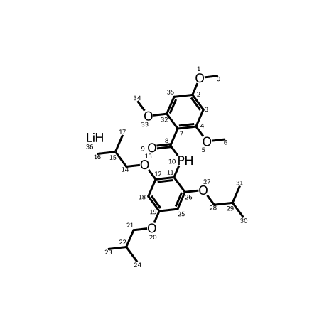 COc1cc(OC)c(C(=O)Pc2c(OCC(C)C)cc(OCC(C)C)cc2OCC(C)C)c(OC)c1.[LiH]